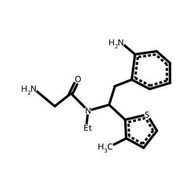 CCN(C(=O)CN)C(Cc1ccccc1N)c1sccc1C